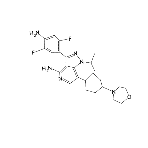 CC(C)n1nc(-c2cc(F)c(N)cc2F)c2c(N)ncc(C3CCC(N4CCOCC4)CC3)c21